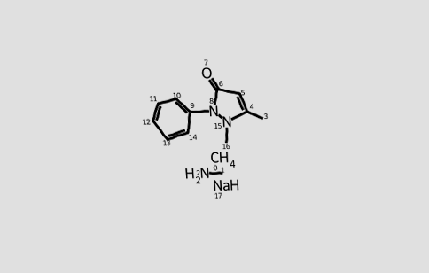 C.CN.Cc1cc(=O)n(-c2ccccc2)n1C.[NaH]